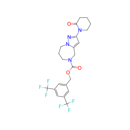 O=C(OCc1cc(C(F)(F)F)cc(C(F)(F)F)c1)N1CCCn2nc(N3CCCCC3=O)cc2C1